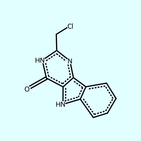 O=c1[nH]c(CCl)nc2c1[nH]c1ccccc12